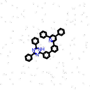 c1ccc(C2=NC(c3cccc(-c4cccc(-c5cc(-c6ccccc6)cc(-c6ccccc6)n5)c4)c3)NC(c3ccccc3)=N2)cc1